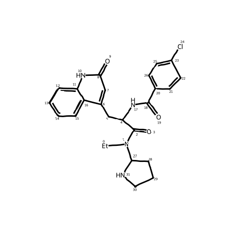 CCN(C(=O)C(Cc1cc(=O)[nH]c2ccccc12)NC(=O)c1ccc(Cl)cc1)C1CCCN1